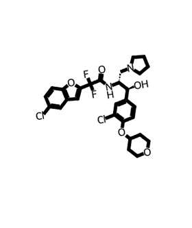 O=C(N[C@H](CN1CCCC1)[C@@H](O)c1ccc(OC2CCOCC2)c(Cl)c1)C(F)(F)c1cc2cc(Cl)ccc2o1